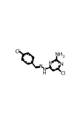 Nc1nc(Cl)cc(NN=Cc2ccc(Cl)cc2)n1